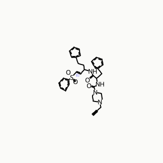 C#CCN1CCN(C(=O)NC(Cc2ccccc2)C(=O)NC(/C=C/S(=O)(=O)c2ccccc2)CCc2ccccc2)CC1